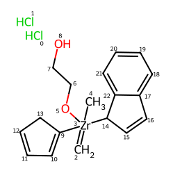 Cl.Cl.[CH2]=[Zr]([CH3])([O]CCO)([C]1=CC=CC1)[CH]1C=Cc2ccccc21